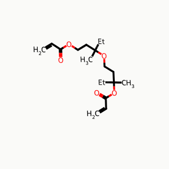 C=CC(=O)OCCC(C)(CC)OCCC(C)(CC)OC(=O)C=C